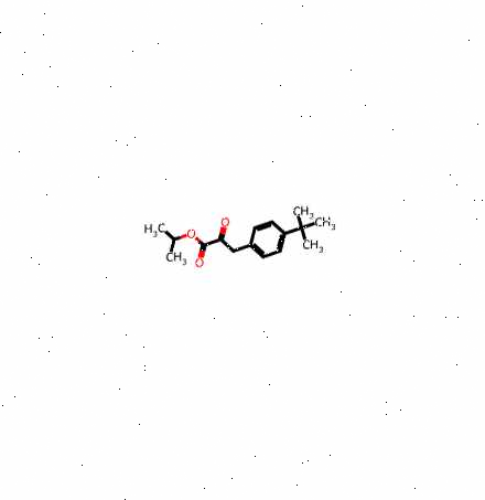 CC(C)OC(=O)C(=O)Cc1ccc(C(C)(C)C)cc1